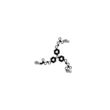 CC(C)(C)CC(=O)OCOc1ccc([S+](c2ccc(OCOC(=O)OC(C)(C)C)cc2)c2ccc(OCOC(=O)OC(C)(C)C)cc2)cc1